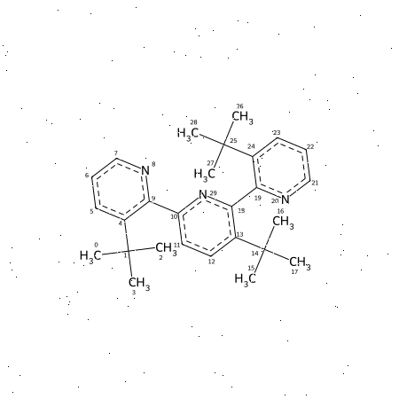 CC(C)(C)c1cccnc1-c1ccc(C(C)(C)C)c(-c2ncccc2C(C)(C)C)n1